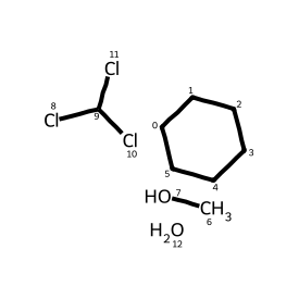 C1CCCCC1.CO.ClC(Cl)Cl.O